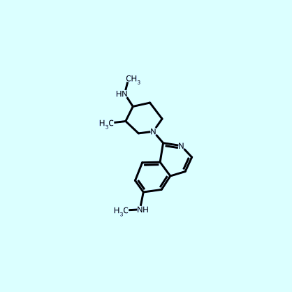 CNc1ccc2c(N3CCC(NC)C(C)C3)nccc2c1